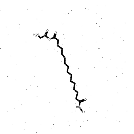 CCNC(=O)CCCCCCCCCCCCCCC(=O)OC(=O)CN